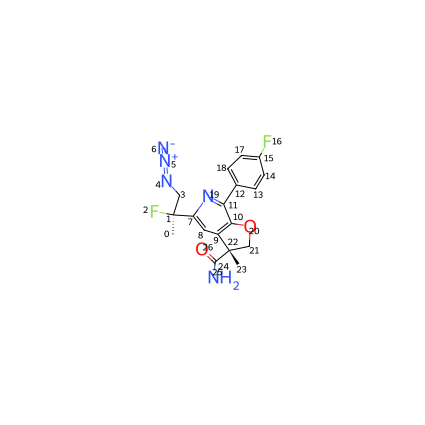 C[C@](F)(CN=[N+]=[N-])c1cc2c(c(-c3ccc(F)cc3)n1)OC[C@]2(C)C(N)=O